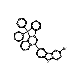 Brc1ccc2sc3ccc(-c4cc5c(c6ccccc46)C(c4ccccc4)(c4ccccc4)c4ccccc4-5)cc3c2c1